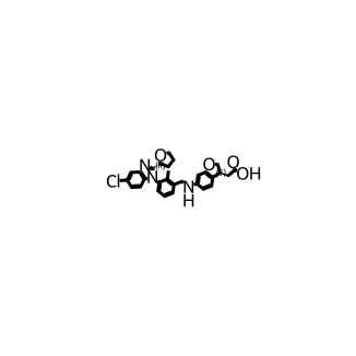 Cc1c(CNc2ccc3c(c2)OC[C@H]3CC(=O)O)cccc1-n1c([C@H]2CCCO2)nc2cc(Cl)ccc21